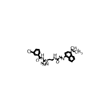 CN(C)c1ccc(N=NC(=O)NCCn2nnnc2NC(=O)c2cccc(Cl)c2)c2ccccc12